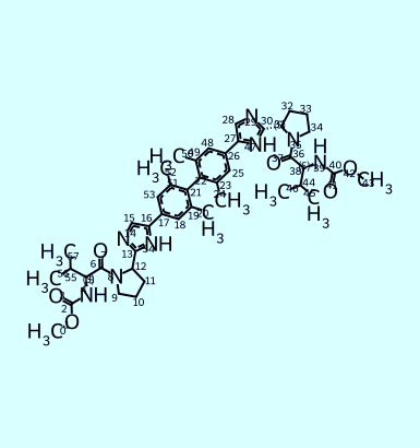 COC(=O)N[C@H](C(=O)N1CCCC1c1ncc(-c2cc(C)c(-c3c(C)cc(-c4cnc([C@@H]5CCCN5C(=O)[C@@H](NC(=O)OC)C(C)C)[nH]4)cc3C)c(C)c2)[nH]1)C(C)C